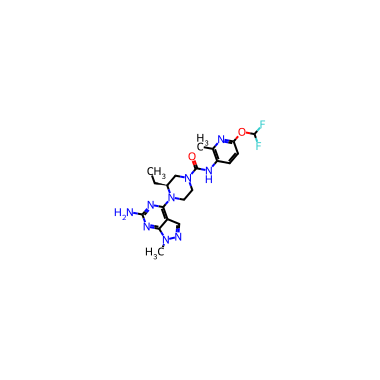 CC[C@H]1CN(C(=O)Nc2ccc(OC(F)F)nc2C)CCN1c1nc(N)nc2c1cnn2C